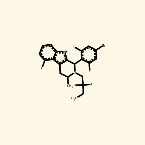 CCC(F)(F)CN1C(C)Cc2c([nH]c3cccc(F)c23)C1c1c(F)cc(Br)cc1F